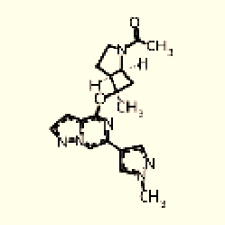 CC(=O)N1CC[C@H]2[C@@H]1C[C@@]2(C)Oc1nc(-c2cnn(C)c2)cn2nccc12